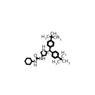 CC(C)(C)c1ccc(C(c2ccc(C(C)(C)C)cc2)[C@H]2C[C@@H](NC(=O)NC3CCCCC3)CN2)cc1